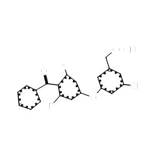 O=C(O)Cc1cc(Cl)cc(Oc2cc(F)c(C(=O)c3ccccc3)c(F)c2)c1